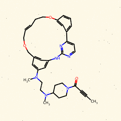 CC#CC(=O)N1CCC(N(C)CCN(C)c2cc3cc(c2)Nc2nccc(n2)-c2cccc(c2)OCC/C=C/COC3)CC1